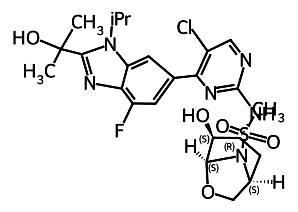 CC(C)n1c(C(C)(C)O)nc2c(F)cc(-c3nc(N[C@@H]4C[C@H]5CO[C@@H]([C@H]4O)N5S(C)(=O)=O)ncc3Cl)cc21